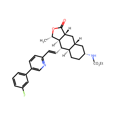 CCOC(=O)N[C@@H]1CC[C@@H]2[C@@H](C1)C[C@H]1C(=O)O[C@@H](C)[C@@H]1[C@H]2/C=C/c1ccc(-c2cccc(F)c2)cn1